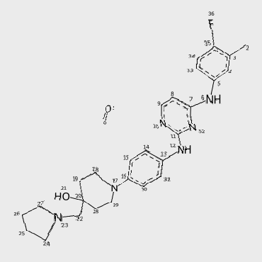 C=O.Cc1cc(Nc2ccnc(Nc3ccc(N4CCC(O)(CN5CCCC5)CC4)cc3)n2)ccc1F